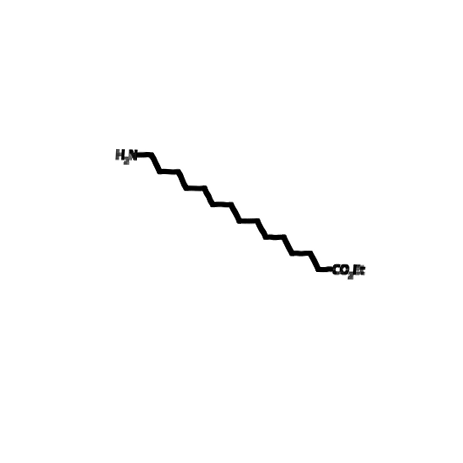 CCOC(=O)CCCCCCCCCCCCCCN